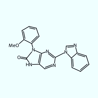 COc1ccccc1-n1c(=O)[nH]c2cnc(-n3cnc4ccccc43)nc21